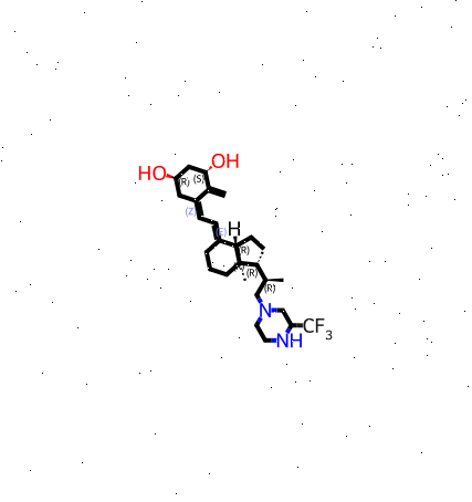 C=C1/C(=C\C=C2/CCC[C@]3(C)[C@@H]([C@@H](C)CN4CCNC(C(F)(F)F)C4)CC[C@@H]23)C[C@@H](O)C[C@@H]1O